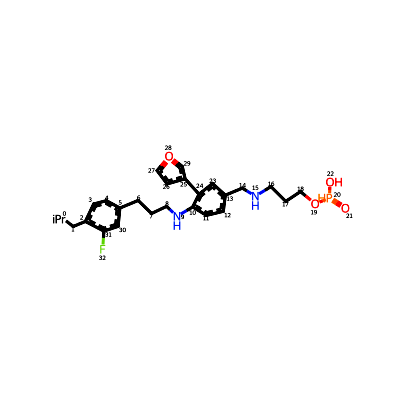 CC(C)Cc1ccc(CCCNc2ccc(CNCCCO[PH](=O)O)cc2-c2ccoc2)cc1F